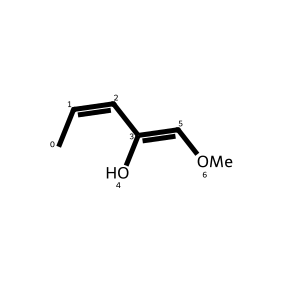 C/C=C\C(O)=COC